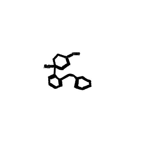 COC1(c2ccccc2Cc2ccccc2)CCN(C=O)CC1